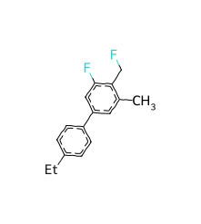 CCc1ccc(-c2cc(C)c(CF)c(F)c2)cc1